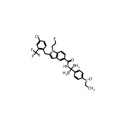 BC(B)(NC(=O)c1ccc2c(c1)cc(Cc1ccc(Cl)cc1C(F)(F)F)n2CCF)c1ccc([S+]([O-])CC)cc1